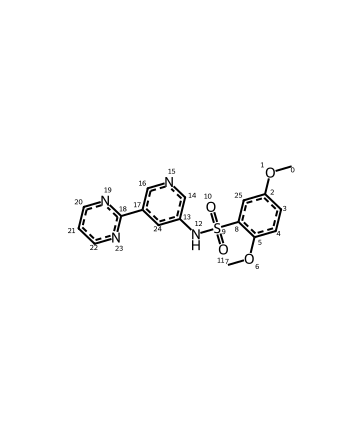 COc1ccc(OC)c(S(=O)(=O)Nc2cncc(-c3ncccn3)c2)c1